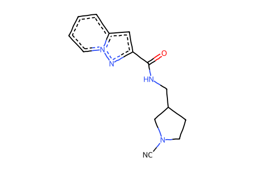 N#CN1CCC(CNC(=O)c2cc3ccccn3n2)C1